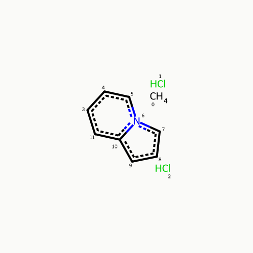 C.Cl.Cl.c1ccn2cccc2c1